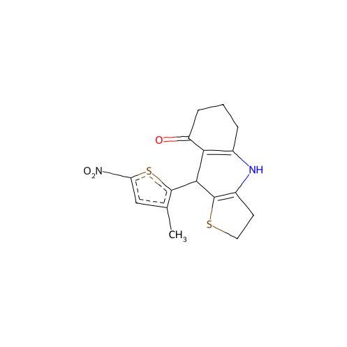 Cc1cc([N+](=O)[O-])sc1C1C2=C(CCS2)NC2=C1C(=O)CCC2